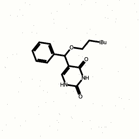 CCC(C)CCOC(c1ccccc1)c1c[nH]c(=O)[nH]c1=O